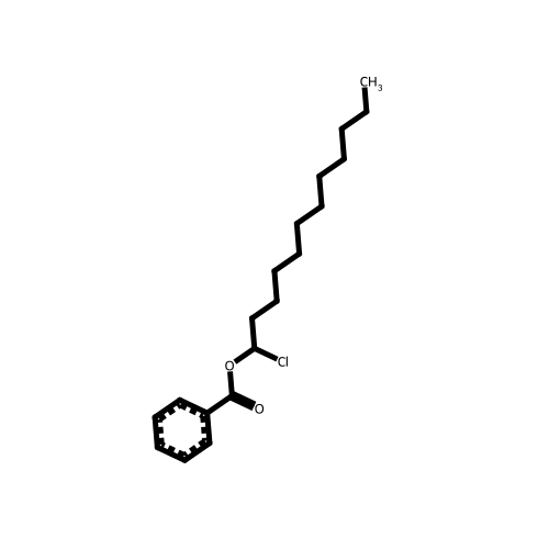 CCCCCCCCCCCC(Cl)OC(=O)c1ccccc1